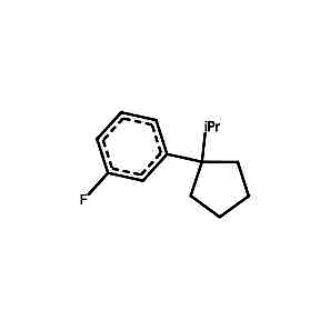 CC(C)C1(c2cccc(F)c2)CCCC1